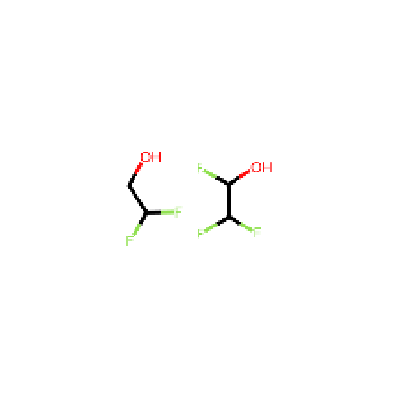 OC(F)C(F)F.OCC(F)F